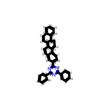 c1ccc(-c2nc(-c3ccccc3)nc(-c3ccc4c(ccc5c4ccc4c6ccccc6ccc45)c3)n2)cc1